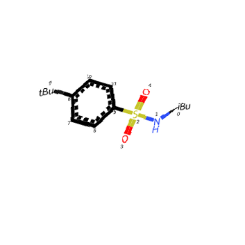 CC[C@H](C)NS(=O)(=O)c1ccc(C(C)(C)C)cc1